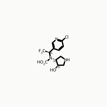 O=C(O)N([C@@H]1CNC[C@H]1O)[C@H](c1ccc(Cl)nc1)C(F)(F)F